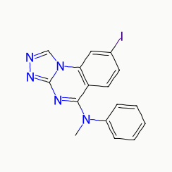 CN(c1ccccc1)c1nc2nncn2c2cc(I)ccc12